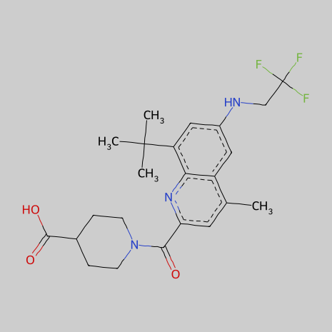 Cc1cc(C(=O)N2CCC(C(=O)O)CC2)nc2c(C(C)(C)C)cc(NCC(F)(F)F)cc12